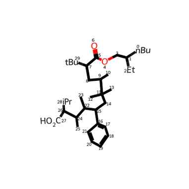 CCCCC(CC)COC(=O)C(CC(C)C(C)(C)CC(c1ccccc1)C(C)C(C)C(C(=O)O)C(C)C)C(C)(C)C